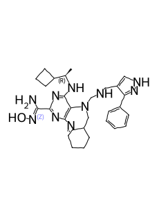 C=Nc1nc(/C(N)=N/O)nc(N[C@H](C)C2CCC2)c1N(CNCc1c[nH]nc1-c1ccccc1)CC1CCCCC1